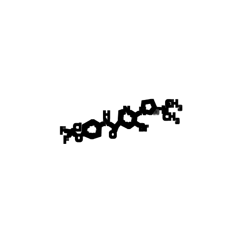 CN(C)[C@H]1CCN(c2ncc(C(=O)Nc3ccc(OC(F)(F)Cl)cc3)cc2Br)C1